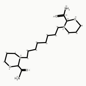 NC(=O)C1OCCCN1CCCCCCCCN1CCCOC1C(N)=O